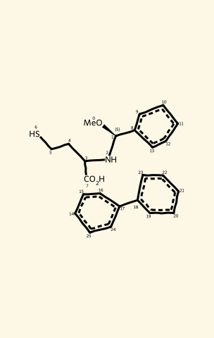 CO[C@H](NC(CCS)C(=O)O)c1ccccc1.c1ccc(-c2ccccc2)cc1